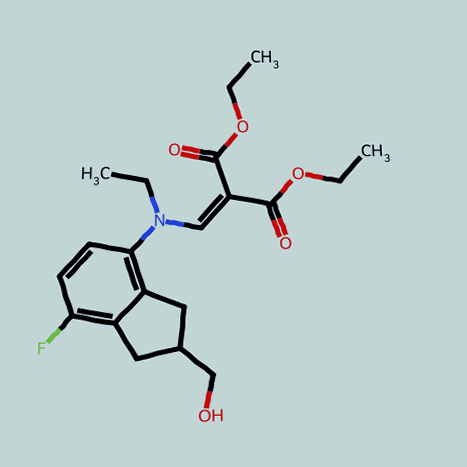 CCOC(=O)C(=CN(CC)c1ccc(F)c2c1CC(CO)C2)C(=O)OCC